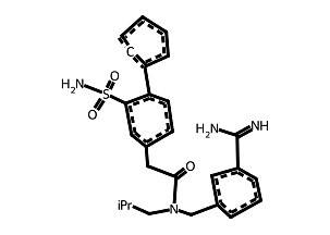 CC(C)CN(Cc1cccc(C(=N)N)c1)C(=O)Cc1ccc(-c2ccccc2)c(S(N)(=O)=O)c1